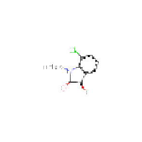 CCCCCCN1C(=O)C(=O)c2cccc(Cl)c21